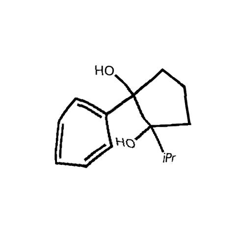 CC(C)C1(O)CCCC1(O)c1ccccc1